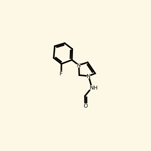 O=CNN1C=CN(c2ccccc2F)C1